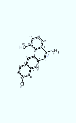 C/C(=C/c1ccc2ccc(Cl)cc2n1)c1cccc(O)c1